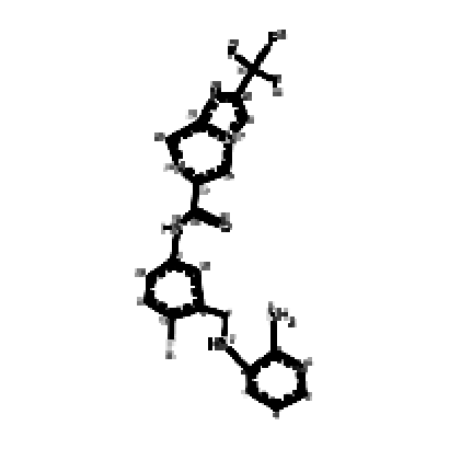 Nc1ncccc1NCc1cc(NC(=O)c2cn3cc(C(F)(F)F)nc3cn2)ccc1F